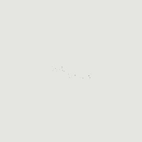 OCc1cc([C@@H](O)CNCCc2cccc(COCCOCc3cccc(OC(F)(F)F)c3)c2)ccc1O